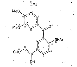 COc1cc(C(=O)c2cc(C(O)=CC=O)ccc2NC(C)=O)cc(OC)c1OC